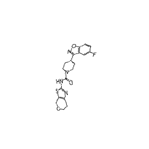 O=C(Nc1nc2c(s1)COCC2)N1CCC(c2noc3ccc(F)cc23)CC1